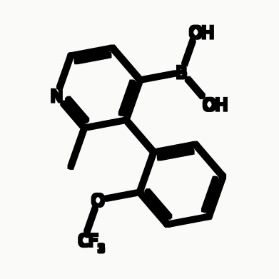 Cc1nccc(B(O)O)c1-c1ccccc1OC(F)(F)F